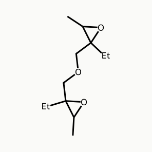 CCC1(COCC2(CC)OC2C)OC1C